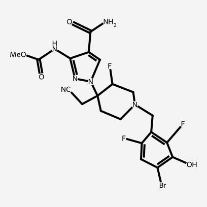 COC(=O)Nc1nn(C2(CC#N)CCN(Cc3c(F)cc(Br)c(O)c3F)CC2F)cc1C(N)=O